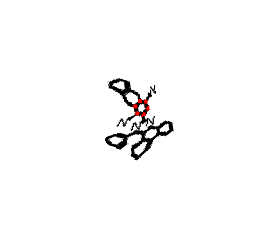 N#Cc1cccc2c1C1c3ccccc3C2c2c1ccc(-c1nc(-c3ccccc3)c3c4ccccc4c4ccccc4c3n1)c2C#N